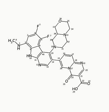 CNc1cc(F)c(F)c2c1[nH]c1ncc(-c3ccc4ncc(C(=O)O)c(=O)n4c3)c(N3CCN4CCOCC4C3)c12